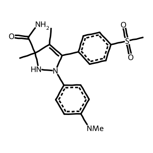 CNc1ccc(N2NC(C)(C(N)=O)C(C)=C2c2ccc(S(C)(=O)=O)cc2)cc1